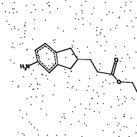 CCOC(=O)CCC1Cc2ccc(N)cc2C1